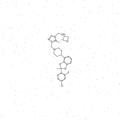 CC1(c2ccc(Cl)cc2F)Oc2cccc(C3CCN(Cc4ncc(CO)n4C[C@@H]4CCO4)CC3)c2O1